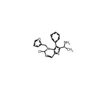 C[C@H](N)c1sc2c(c1-c1ccccc1)N(Cc1ccco1)C(Cl)N=C2